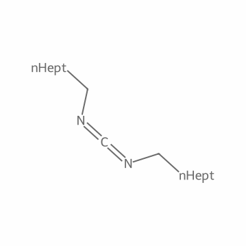 CCCCCCCCN=C=NCCCCCCCC